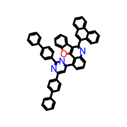 c1ccc(-c2ccc(-c3cc(-c4cccc5nc(-c6cc7ccccc7c7ccccc67)c6c7ccccc7oc6c45)nc(-c4ccc(-c5ccccc5)cc4)n3)cc2)cc1